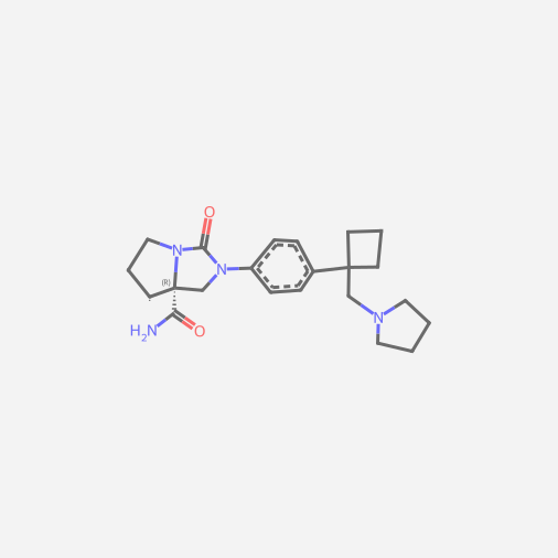 NC(=O)[C@]12[CH]CCN1C(=O)N(c1ccc(C3(CN4CCCC4)CCC3)cc1)C2